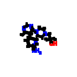 Cc1ncnc(N2CCN(CC(C)(C)O)CC2)c1-c1ccc(N)nc1